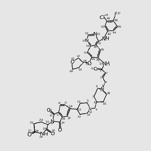 O=C(/C=C/CN1CCC(CN2CCC(c3ccc4c(c3)C(=O)N(C3CCC(=O)NC3=O)C4=O)CC2)CC1)Nc1cc2c(Nc3ccc(F)c(Cl)c3)ncnc2cc1O[C@H]1CCOC1